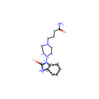 NC(=O)CCCN1CCN(n2c(=O)[nH]c3ccccc32)CC1